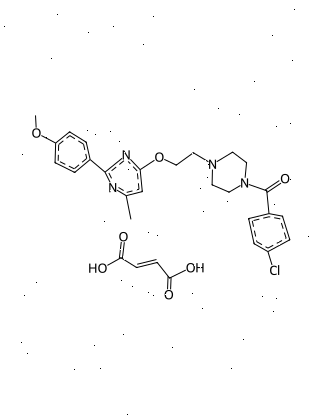 COc1ccc(-c2nc(C)cc(OCCN3CCN(C(=O)c4ccc(Cl)cc4)CC3)n2)cc1.O=C(O)C=CC(=O)O